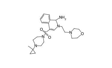 CC1(N2CCN(S(=O)(=O)C3=CN(CCN4CCOCC4)C(N)c4ccccc43)CC2)CC1